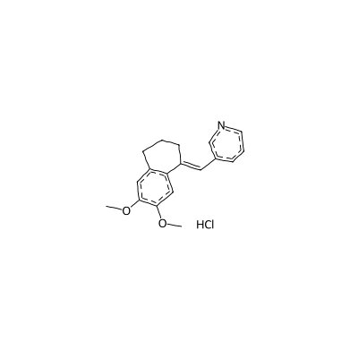 COc1cc2c(cc1OC)/C(=C/c1cccnc1)CCC2.Cl